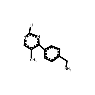 Cc1cnc(Cl)nc1-c1ccc(CN)cc1